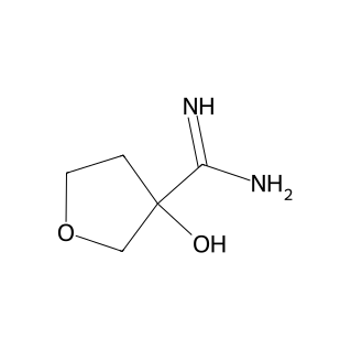 N=C(N)C1(O)CCOC1